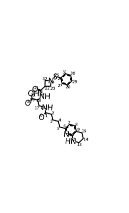 O=C(CCCCc1ccc2c(n1)NCCC2)NCC(NC(=O)C1CN(Sc2ccccc2)C1)C(=O)O